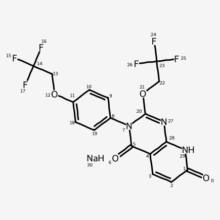 O=c1ccc2c(=O)n(-c3ccc(OCC(F)(F)F)cc3)c(OCC(F)(F)F)nc2[nH]1.[NaH]